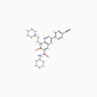 N#Cc1ccc(-c2cnc3c(c2)cc(C(=O)NC2CCCCC2)c(=O)n3CCN2CCOCC2)nc1